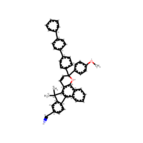 COc1ccc(C2(c3ccc(-c4ccc(-c5ccccc5)cc4)cc3)C=Cc3c4c(c5ccccc5c3O2)-c2ccc(C#N)cc2C4(C)C)cc1